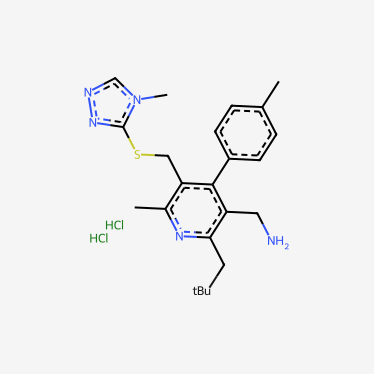 Cc1ccc(-c2c(CSc3nncn3C)c(C)nc(CC(C)(C)C)c2CN)cc1.Cl.Cl